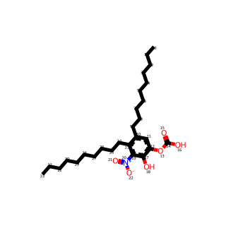 CCCCCCCCCCc1cc(OC(=O)O)c(O)c([N+](=O)[O-])c1CCCCCCCCCC